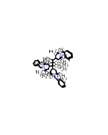 CCCC(C1CC(C)(C)N(Cc2ccccc2)C(C)(C)C1)C(C(=O)O)(C(=O)O)C(C(=O)O)(C1CC(C)(C)N(Cc2ccccc2)C(C)(C)C1)C1CC(C)(C)N(Cc2ccccc2)C(C)(C)C1